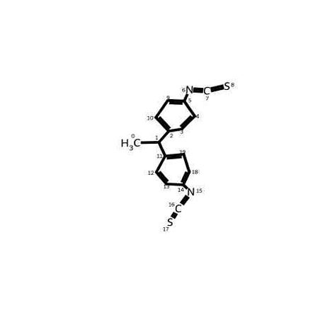 CC(c1ccc(N=C=S)cc1)c1ccc(N=C=S)cc1